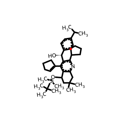 CC(C)c1ccc([C@@H](O)c2c(C3CCCC3)nc3c(c2C2=CCCC2)C(O[Si](C)(C)C(C)(C)C)CC(C)(C)C3)cc1